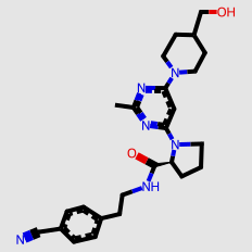 Cc1nc(N2CCC(CO)CC2)cc(N2CCC[C@H]2C(=O)NCCc2ccc(C#N)cc2)n1